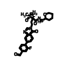 C[C@@](CCn1cnc2cc(-c3ccc(C=O)cc3F)ccc2c1=O)(C(=O)NOC1CCCCO1)S(C)(=O)=O